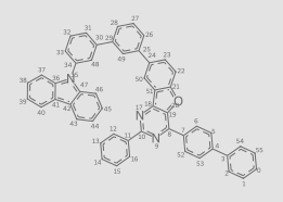 c1ccc(-c2ccc(-c3nc(-c4ccccc4)nc4c3oc3ccc(-c5cccc(-c6cccc(-n7c8ccccc8c8ccccc87)c6)c5)cc34)cc2)cc1